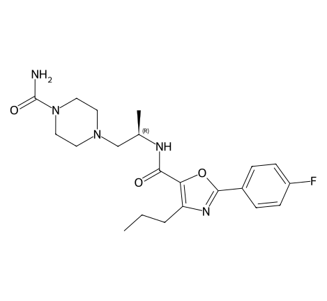 CCCc1nc(-c2ccc(F)cc2)oc1C(=O)N[C@H](C)CN1CCN(C(N)=O)CC1